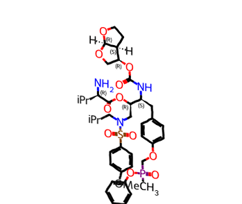 COc1ccc(S(=O)(=O)N(CC(C)C)C[C@@H](OC(=O)[C@H](N)C(C)C)[C@H](Cc2ccc(OCP(C)(=O)Oc3ccccc3)cc2)NC(=O)O[C@H]2CO[C@H]3OCC[C@H]32)cc1